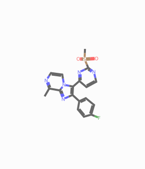 Cc1nccn2c(-c3ccnc(S(C)(=O)=O)n3)c(-c3ccc(F)cc3)nc12